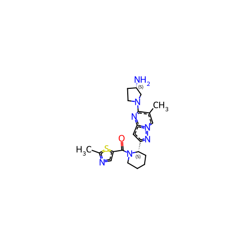 Cc1ncc(C(=O)N2CCCC[C@H]2c2cc3nc(N4CC[C@H](N)C4)c(C)cn3n2)s1